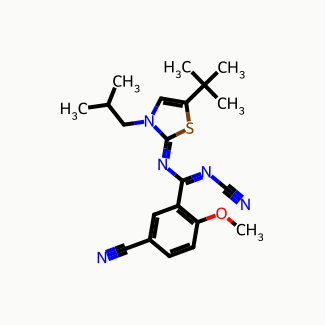 COc1ccc(C#N)cc1C(/N=c1\sc(C(C)(C)C)cn1CC(C)C)=N\C#N